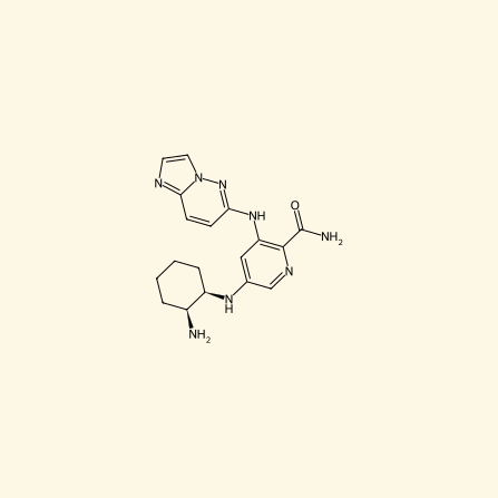 NC(=O)c1ncc(N[C@@H]2CCCC[C@@H]2N)cc1Nc1ccc2nccn2n1